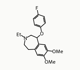 CCN1CCc2cc(OC)c(OC)cc2C(Oc2ccc(F)cc2)C1